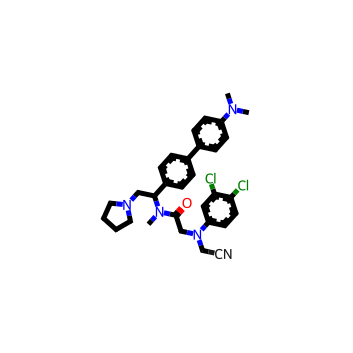 CN(C)c1ccc(-c2ccc(C(CN3CCCC3)N(C)C(=O)CN(CC#N)c3ccc(Cl)c(Cl)c3)cc2)cc1